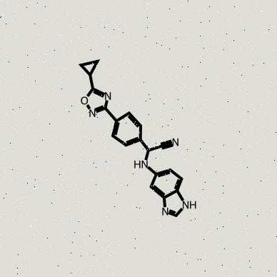 N#CC(Nc1ccc2[nH]cnc2c1)c1ccc(-c2noc(C3CC3)n2)cc1